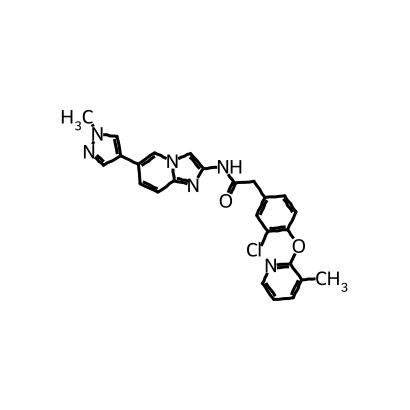 Cc1cccnc1Oc1ccc(CC(=O)Nc2cn3cc(-c4cnn(C)c4)ccc3n2)cc1Cl